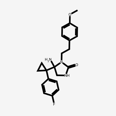 COc1ccc(CCN2C(=O)NCC2(N)C2(c3ccc(F)cc3)CC2)cc1